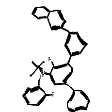 CC(C)(C)N(c1ccccc1F)c1cc(-c2ccccc2)cc(-c2cccc(-c3ccc4ccccc4c3)c2)c1F